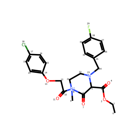 CCOC(=O)C1C(=O)[N+](C)(C(=O)COc2ccc(Cl)cc2)CCN1Cc1ccc(F)cc1